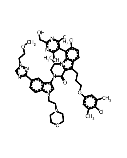 COCCn1cnc(-c2ccc3c(c2)c(N2C[C@@H](C)n4c(c(CCCOc5cc(C)c(Cl)c(C)c5)c5ccc(Cl)c(-c6c(C)nc(CO)nc6C)c54)C2=O)cn3CCN2CCOCC2)n1